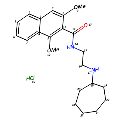 COc1cc2ccccc2c(OC)c1C(=O)NCCNC1CCCCCC1.Cl